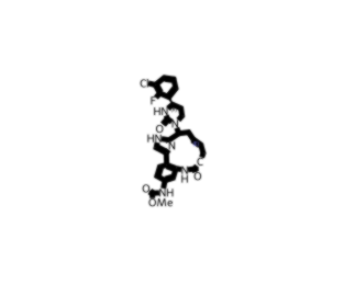 COC(=O)Nc1ccc2c(c1)NC(=O)CC/C=C/CC(N1CC[C@H](c3cccc(Cl)c3F)NC1=O)c1nc-2c[nH]1